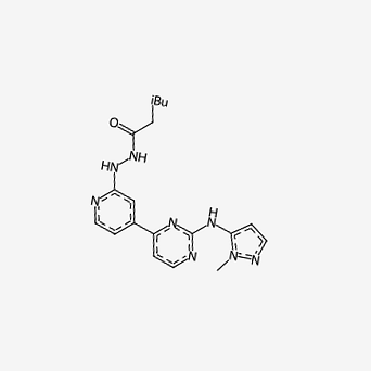 CCC(C)CC(=O)NNc1cc(-c2ccnc(Nc3ccnn3C)n2)ccn1